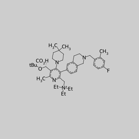 CC[N+](CC)(CC)Cc1nc(C)c([C@H](OC(C)(C)C)C(=O)O)c(N2CCC(C)(C)CC2)c1-c1ccc2c(c1)CCN(Cc1ccc(F)cc1C)C2